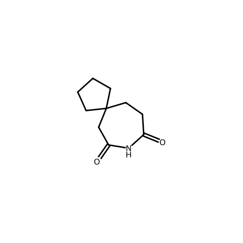 O=C1CCC2(CCCC2)CC(=O)N1